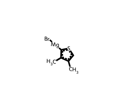 Cc1cs[c]([Mg][Br])c1C